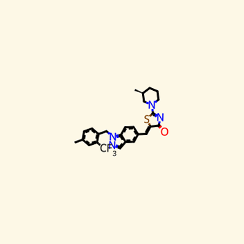 Cc1ccc(Cn2ncc3cc(/C=C4\SC(N5CCC[C@H](C)C5)=NC4=O)ccc32)c(C(F)(F)F)c1